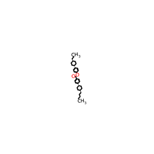 CCCCC[C@H]1CC[C@H](c2ccc(C(=O)Oc3ccc([C@H]4CC[C@H](CCC)CC4)cc3)cc2)CC1